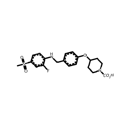 CS(=O)(=O)c1ccc(NCc2ccc(OC3CCN(C(=O)O)CC3)cc2)c(F)c1